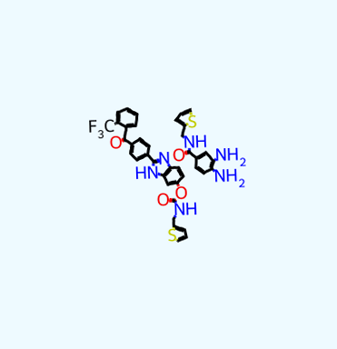 Nc1ccc(C(=O)NCc2cccs2)cc1N.O=C(NCc1cccs1)Oc1ccc2nc(-c3ccc(C(=O)c4ccccc4C(F)(F)F)cc3)[nH]c2c1